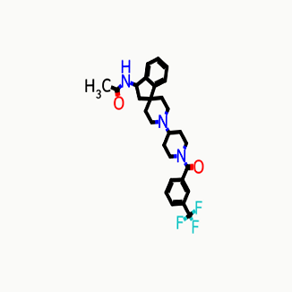 CC(=O)NC1CC2(CCN(C3CCN(C(=O)c4cccc(C(F)(F)F)c4)CC3)CC2)c2ccccc21